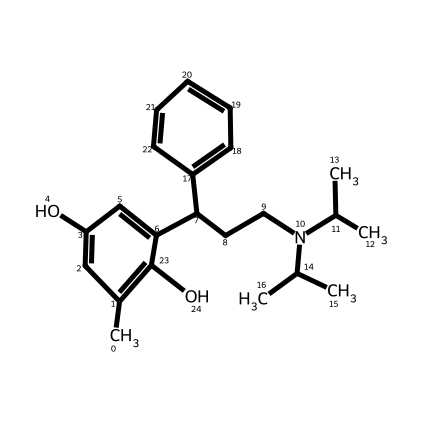 Cc1cc(O)cc(C(CCN(C(C)C)C(C)C)c2ccccc2)c1O